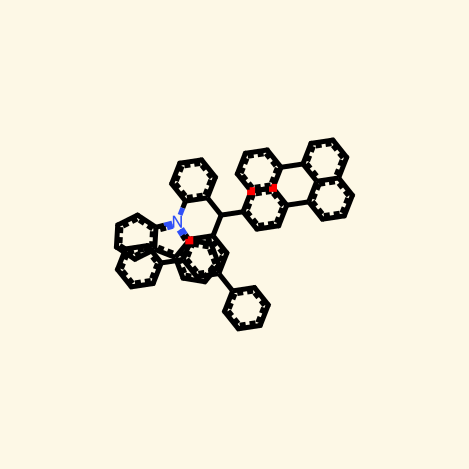 c1ccc(-c2cc(-c3ccccc3)cc(C(c3ccc(-c4cccc5cccc(-c6ccccc6)c45)cc3)c3ccccc3-n3c4ccccc4c4ccccc43)c2)cc1